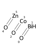 [O]=[BiH].[O]=[Co].[O]=[Zn]